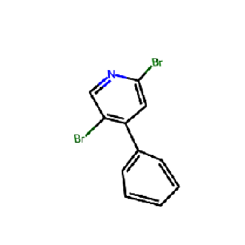 Brc1cc(-c2ccccc2)c(Br)cn1